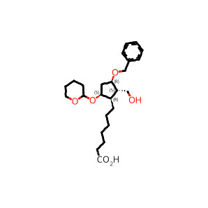 O=C(O)CCCCCC[C@@H]1[C@@H](CO)[C@H](OCc2ccccc2)C[C@@H]1OC1CCCCO1